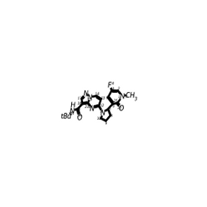 Cn1cc(F)cc(C2CCCN2c2ccn3ncc(C(=O)NC(C)(C)C)c3n2)c1=O